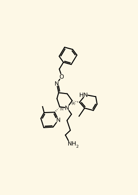 CC1=C([C@H]2CC(=NOCc3ccccc3)C[C@@H](c3ncccc3C)N2CCCCN)NCC=C1